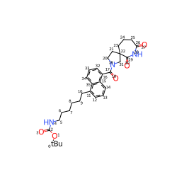 CC(C)(C)OC(=O)NCCCCCCc1cccc2c(C(=O)N3CCC4(CCCC(=O)NC4=O)C3)cccc12